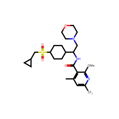 COc1nc(C(F)(F)F)cc(C)c1C(=O)NC(CN1CCOCC1)C1CCC(S(=O)(=O)CC2CC2)CC1